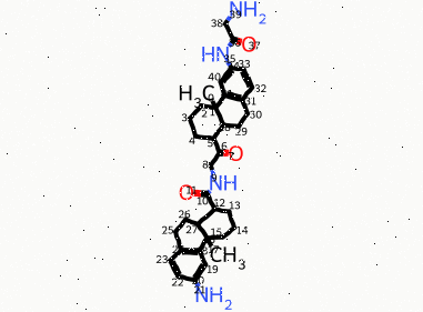 CC12CCCC(C(=O)CNC(=O)C3CCCC4(C)c5cc(N)ccc5CCC34)C1CCc1ccc(NC(=O)CN)cc12